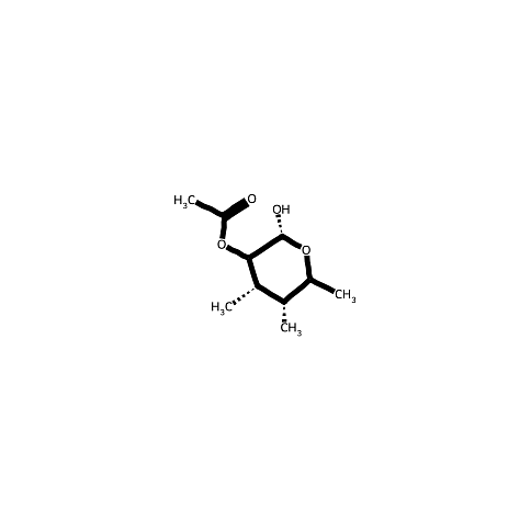 CC(=O)OC1[C@H](O)OC(C)[C@H](C)[C@@H]1C